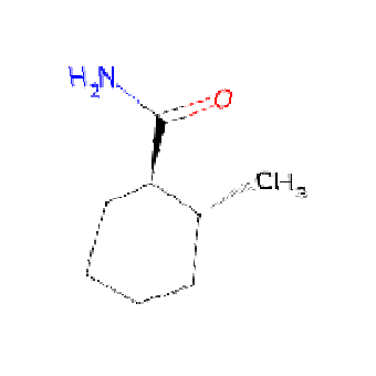 C[C@@H]1CCCC[C@H]1C(N)=O